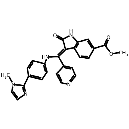 COC(=O)c1ccc2c(c1)NC(=O)/C2=C(\Nc1ccc(-c2nccn2C)cc1)c1ccncc1